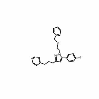 Fc1ccc(-c2cc(CCCc3ccccc3)nn2CCOCc2ccccc2)cc1